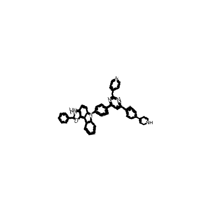 C1=CC2C3C4=C(C=CC3N(c3ccc(-c5cc(-c6ccc(C7=CCNC=C7)cc6)nc(-c6ccncc6)n5)cc3)C2C=C1)NC(c1ccccc1)O4